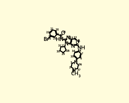 CN1CCN(c2ccc(Nc3ncc4nc(NC(=O)c5cccc(Br)c5)n(C5CCCC5)c4n3)cc2)CC1